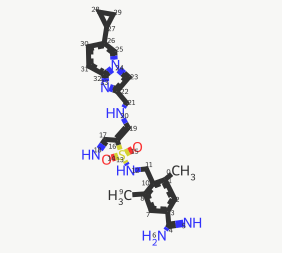 Cc1cc(C(=N)N)cc(C)c1CNS(=O)(=O)/C(C=N)=C/NCc1cn2cc(C3CC3)ccc2n1